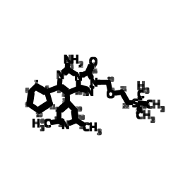 Cc1cc(-c2c(-c3ccccc3)nc(N)n3c(=O)n(COCC[Si](C)(C)C)nc23)cc(C)n1